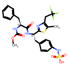 COC(=O)N[C@@H](Cc1ccccc1)C(=O)N[C@@H](Cc1ccc(NS(=O)(=O)O)cc1)c1nc(CC(F)(F)F)c(C)s1